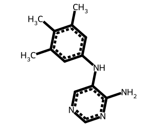 Cc1cc(Nc2cncnc2N)cc(C)c1C